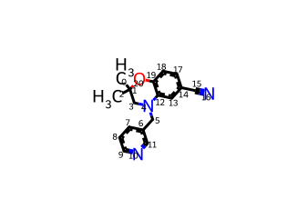 CC1(C)CN(Cc2cccnc2)c2cc(C#N)ccc2O1